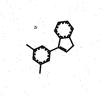 Cc1cc(C)cc(C2=C[CH]c3ccccc32)c1.[Zr]